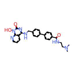 CN(C)CCNC(=O)c1ccc(-c2ccc(CNc3nc(=O)n(O)c4ncccc34)cc2)cc1